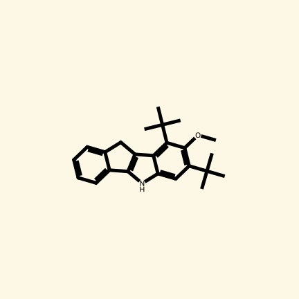 COc1c(C(C)(C)C)cc2[nH]c3c(c2c1C(C)(C)C)Cc1ccccc1-3